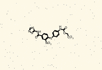 O=C(Nc1ccc(Sc2ccc(C(=O)Nc3nncs3)cc2[N+](=O)[O-])cc1)OCC(Cl)(Cl)Cl